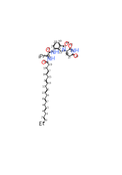 CCC=CCC=CCC=CCC=CCC=CCC=CCCC(=O)N[C@H](C(=O)Nc1cccc2c1CN(C1CCC(=O)NC1=O)C2=O)C(C)C